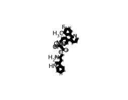 Cc1cc(-c2ncccc2-c2ccc3ncc(C(=O)OC[C@@H](N)Cc4c[nH]c5ccccc45)n3c2)ccc1F.O=CO